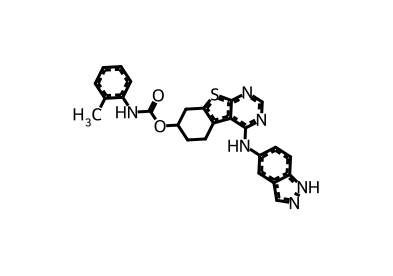 Cc1ccccc1NC(=O)OC1CCc2c(sc3ncnc(Nc4ccc5[nH]ncc5c4)c23)C1